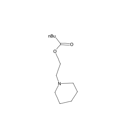 CCCCC(=O)OCCN1CCCCC1